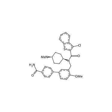 CN[C@H]1CC[C@@H](N(Cc2cc(-c3ccc(C(N)=O)cc3)ccc2OC)C(=O)c2sc3ccccc3c2Cl)CC1